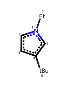 CCn1ccc(C(C)(C)C)c1